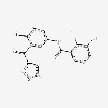 N#Cc1cccc(C(=O)Nc2ccc(N)c(C(=N)c3cnco3)c2)c1F